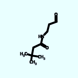 CC(C)(C)CC(=O)NCCC=O